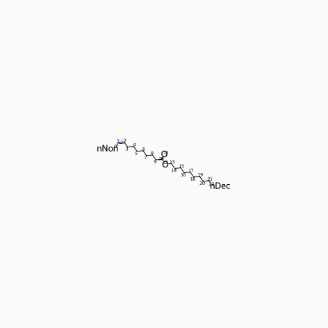 CCCCCCCCC/C=C\CCCCCCCC(=O)OCCCCCCCCCCCCCCCCCCC